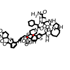 NC(=O)CC[C@H](NC(=O)[C@@H]1CC[C@@H]2CCCC[C@H](NC(=O)c3cc4cc(C(F)(F)P(=O)(O)O)ccc4s3)C(=O)N21)C(=O)N[C@H](C(=O)N1CCC(CCC#Cc2cccc3c2CN(C2CCC(=O)NC2=O)C3=O)CC1)C1CCCCC1